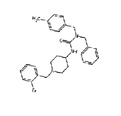 Cc1ccc(CN(Cc2ccccc2)C(=O)NC2CCN(Cc3ccccc3Br)CC2)cc1